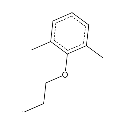 [CH2]CCOc1c(C)cccc1C